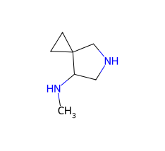 CNC1CNCC12CC2